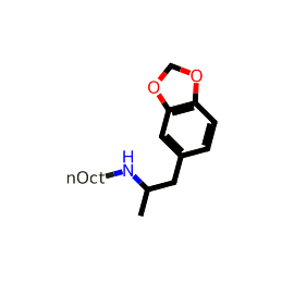 CCCCCCCCNC(C)Cc1ccc2c(c1)OCO2